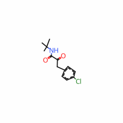 CC(C)(C)NC(=O)C(=O)Cc1ccc(Cl)cc1